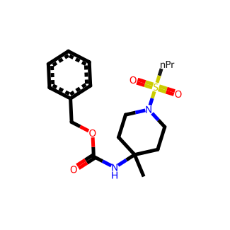 CCCS(=O)(=O)N1CCC(C)(NC(=O)OCc2ccccc2)CC1